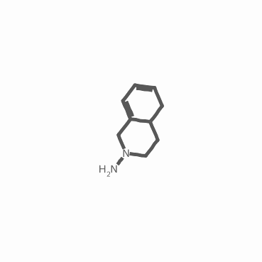 NN1CCC2CC=CC=C2C1